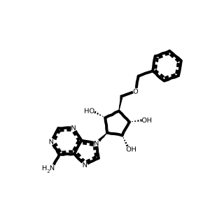 Nc1ncnc2c1ncn2[C@H]1[C@H](O)[C@@H](COCc2ccccc2)[C@H](O)[C@@H]1O